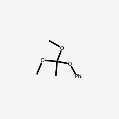 COC(C)(OC)[O][Pb]